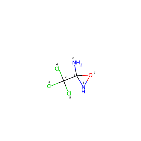 NC1(C(Cl)(Cl)Cl)NO1